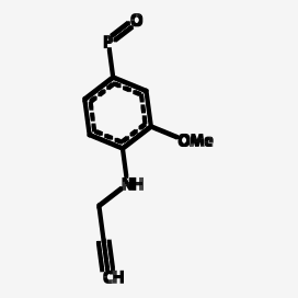 C#CCNc1ccc(P=O)cc1OC